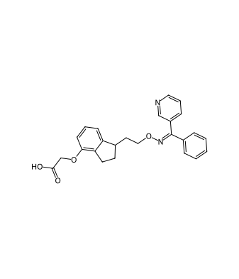 O=C(O)COc1cccc2c1CCC2CCON=C(c1ccccc1)c1cccnc1